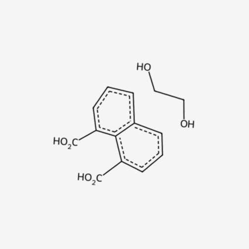 O=C(O)c1cccc2cccc(C(=O)O)c12.OCCO